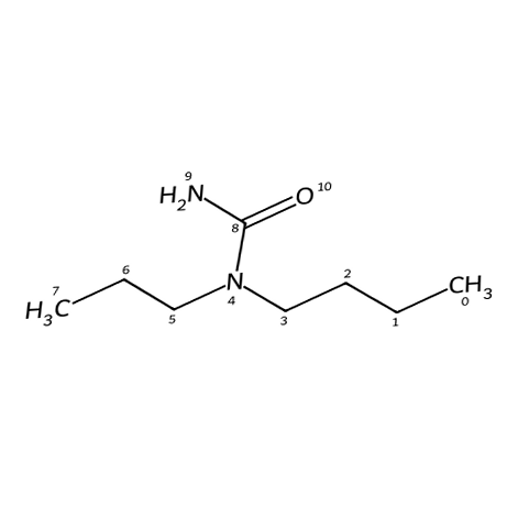 CCCCN(CCC)C(N)=O